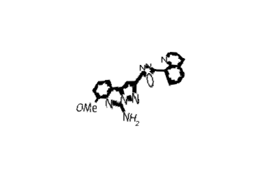 COc1cccc2c1nc(N)n1nc(-c3nnc(-c4cccc5cccnc45)o3)cc21